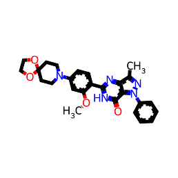 COc1cc(N2CCC3(CC2)OCCO3)ccc1-c1nc2c(C)nn(-c3ccccc3)c2c(=O)[nH]1